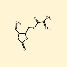 C=CC1OC(=O)OC1COC(=O)C(=C)C